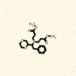 COC(=O)CCN(CCC(=O)OC)C(Cc1ccccc1)C1COCCO1